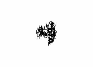 CN1N=C(NS(C)(=O)=O)C2=C(Cl)C=C[C@@H](n3c([C@@H](Cc4cc(F)cc(F)c4)NC(=O)Cn4nc(C(F)(F)F)c5c4C(F)(F)[C@@H]4C[C@H]54)nccc3=O)C21